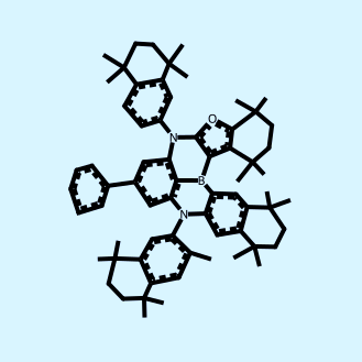 Cc1cc2c(cc1N1c3cc4c(cc3B3c5c1cc(-c1ccccc1)cc5N(c1ccc5c(c1)C(C)(C)CCC5(C)C)c1oc5c(c13)C(C)(C)CCC5(C)C)C(C)(C)CCC4(C)C)C(C)(C)CCC2(C)C